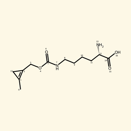 CC1=C(COC(=O)NCCCC[C@H](N)C(=O)O)C1